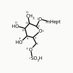 CCCCCCCOC1OC(COS(=O)(=O)O)C(O)C(O)C1C